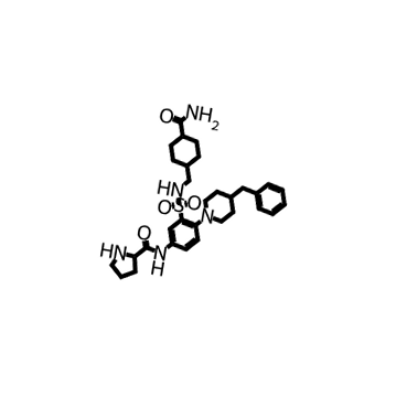 NC(=O)C1CCC(CNS(=O)(=O)c2cc(NC(=O)C3CCCN3)ccc2N2CCC(Cc3ccccc3)CC2)CC1